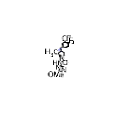 COc1cnc(NC(=O)N2CC/C(=C\c3ccc(F)c(C(F)(F)F)c3)C(C)C2)cn1